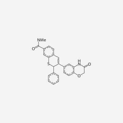 CNC(=O)c1ccc2c(c1)SC(c1ccccc1)C(c1ccc3c(c1)NC(=O)CO3)=C2